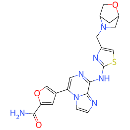 NC(=O)c1cc(-c2cnc(Nc3nc(CN4CC5CC4CO5)cs3)c3nccn23)co1